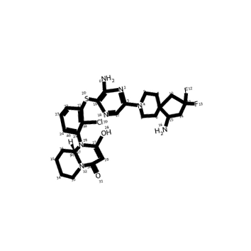 Nc1nc(N2CCC3(CC2)CC(F)(F)CC3N)cnc1Sc1cccc(N2C(O)=CC(=O)N3CCCC[C@@H]32)c1Cl